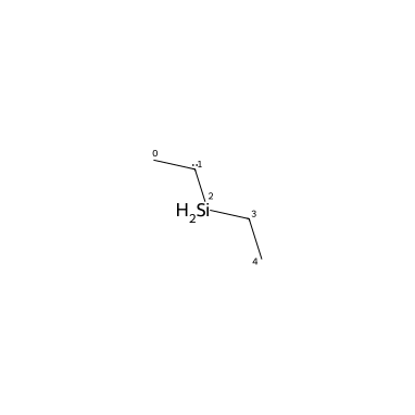 C[C][SiH2]CC